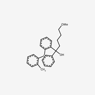 COCCCCC(O)(c1c[c]ccc1)c1ccccc1Oc1ccccc1C